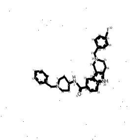 O=C(NC1CCN(Cc2ccccc2)CC1)c1ccc2[nH]c3c(c2c1)CN(Cc1ccc(F)cc1)CC3